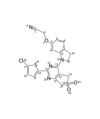 N#CCOc1ccc2c(c1)N(c1nc(-c3ccc(Cl)s3)nc3c1CS(=O)(=O)C3)CC2